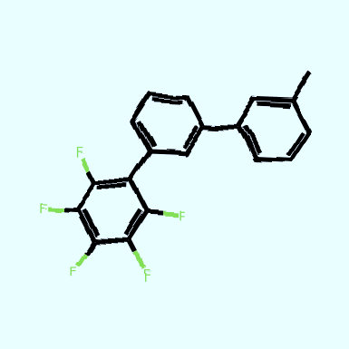 Cc1cccc(-c2cccc(-c3c(F)c(F)c(F)c(F)c3F)c2)c1